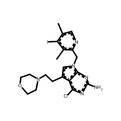 Cc1cnc(Cn2cc(CCN3CCOCC3)c3c(Cl)nc(N)nc32)c(C)c1I